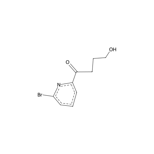 O=C(CCCO)c1cccc(Br)n1